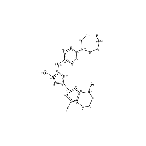 CC(C)N1CCOc2c(F)cc(-c3cn(C)c(Nc4ccc(N5CCCNCC5)cn4)n3)cc21